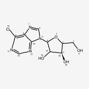 OCC1OC(n2cnc3c(Cl)ncnc32)C(O)[C@@H]1O